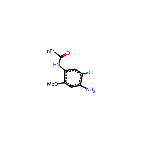 CCCC(=O)Nc1cc(Cl)c(N)cc1OC